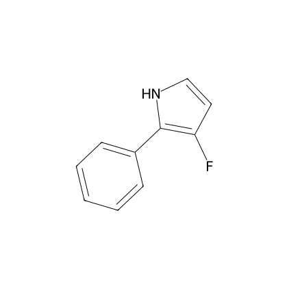 Fc1cc[nH]c1-c1ccccc1